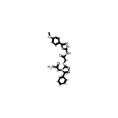 COc1ccc(-c2nnc(NC(=O)CSc3nnc(-c4ccccc4)n3CC(N)=O)s2)cc1